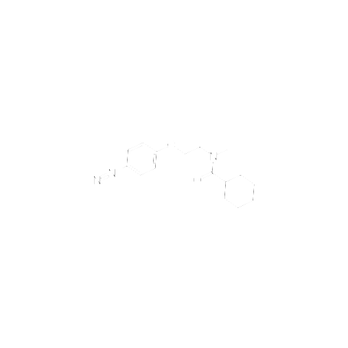 CN(CCOc1ccc([N+]#N)cc1)C(=O)C1CCCCC1